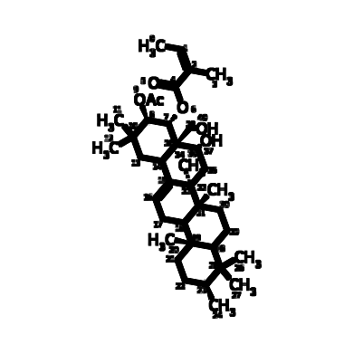 C/C=C(/C)C(=O)O[C@H]1[C@H](OC(C)=O)C(C)(C)CC2C3=CCC4[C@@]5(C)CC[C@H](C)C(C)(C)C5CC[C@@]4(C)[C@]3(C)C[C@@H](O)[C@]21CO